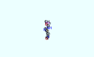 C=CPOc1cccc(Nc2ccnc3cc(-c4ccc(CN5CCOCC5)cc4)sc23)c1